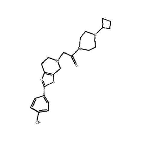 N#Cc1ccc(-c2nc3c(s2)CN(CC(=O)N2CCN(C4CCC4)CC2)CC3)cc1